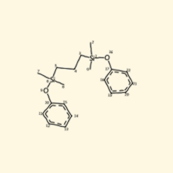 C[Si](C)(CCC[Si](C)(C)Oc1ccccc1)Oc1ccccc1